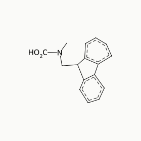 CN(CC1c2ccccc2-c2ccccc21)C(=O)O